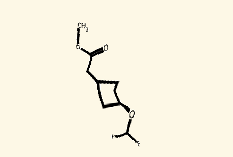 COC(=O)CC1CC(OC(F)F)C1